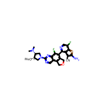 CO[C@H]1CN(c2ncc3c4c(c(-c5ncc(F)c6sc(N)c(C#N)c56)c(F)c3n2)COC4)C[C@H]1N(C)C